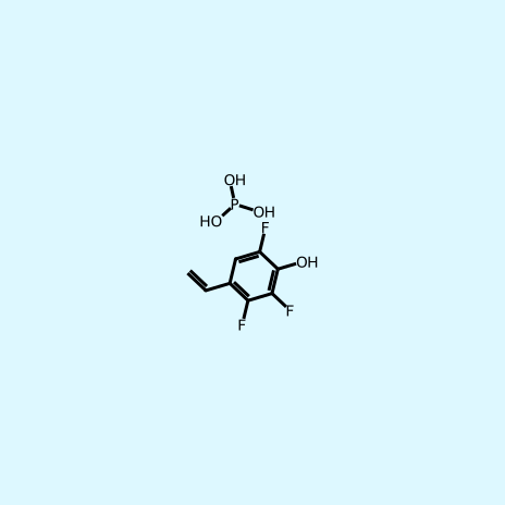 C=Cc1cc(F)c(O)c(F)c1F.OP(O)O